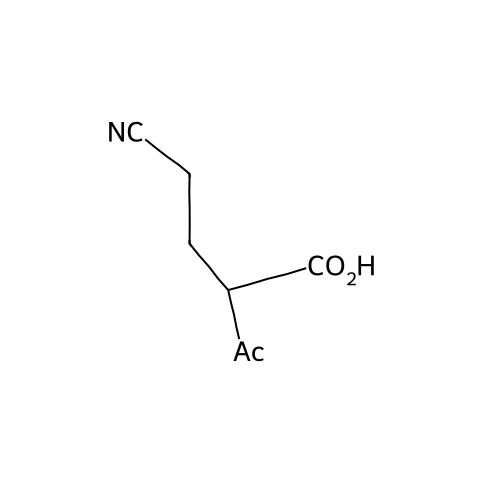 CC(=O)C(CCC#N)C(=O)O